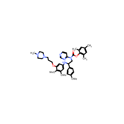 COc1ccc(C(CN(C(=O)Oc2c(C)cc(C)cc2C)c2ccncn2)Nc2cc(OC)c(OC)c(OCCCN3CCN(C)CC3)c2)cc1